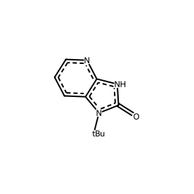 CC(C)(C)n1c(=O)[nH]c2ncccc21